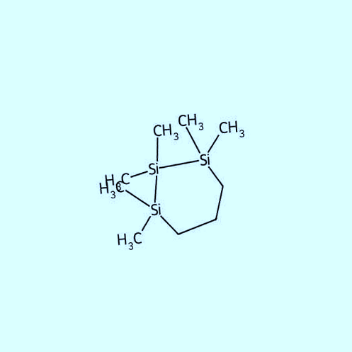 C[Si]1(C)CCC[Si](C)(C)[Si]1(C)C